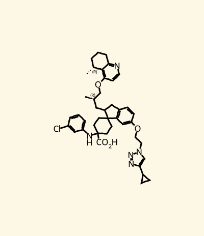 C[C@@H](COc1ccnc2c1[C@H](C)CCC2)CC1Cc2ccc(OCCn3cc(C4CC4)nn3)cc2C12CCC(Nc1cccc(Cl)c1)(C(=O)O)CC2